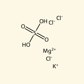 O=S(=O)(O)O.[Cl-].[Cl-].[Cl-].[K+].[Mg+2]